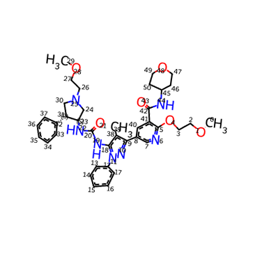 COCCOc1ncc(-c2nn(-c3ccccc3)c(NC(=O)N[C@@H]3CN(CCOC)C[C@H]3c3ccccc3)c2C)cc1C(=O)NC1CCOCC1